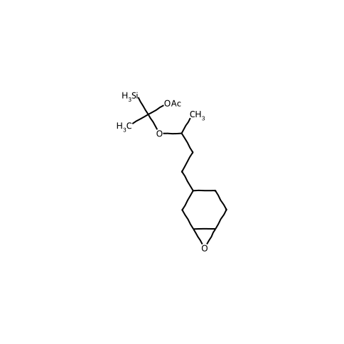 CC(=O)OC(C)([SiH3])OC(C)CCC1CCC2OC2C1